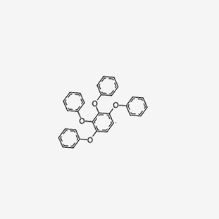 [c]1cc(Oc2ccccc2)c(Oc2ccccc2)c(Oc2ccccc2)c1Oc1ccccc1